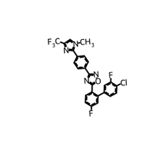 Cn1cc(C(F)(F)F)nc1-c1ccc(-c2noc(-c3ccc(F)cc3-c3ccc(Cl)c(F)c3)n2)cc1